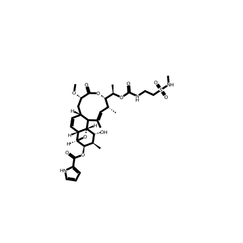 CNS(=O)(=O)CCNC(=O)O[C@H](C)[C@H]1OC(=O)[C@@H](OC)C[C@H]2C=C[C@H]3[C@H]4O[C@]2(/C(C)=C/[C@H]1C)[C@@H]3[C@H](O)[C@@H](C)[C@H]4OC(=O)c1ccc[nH]1